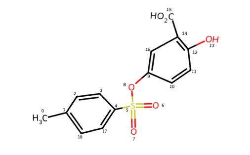 Cc1ccc(S(=O)(=O)Oc2ccc(O)c(C(=O)O)c2)cc1